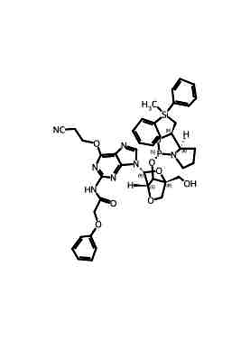 C[Si](C[C@@H]1O[P@@](OC2[C@@H]3OC[C@@]2(CO)O[C@H]3n2cnc3c(OCCC#N)nc(NC(=O)COc4ccccc4)nc32)N2CCC[C@H]12)(c1ccccc1)c1ccccc1